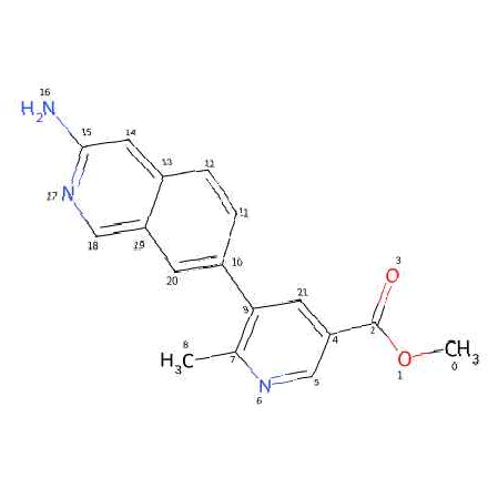 COC(=O)c1cnc(C)c(-c2ccc3cc(N)ncc3c2)c1